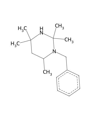 CC1CC(C)(C)NC(C)(C)N1Cc1ccccc1